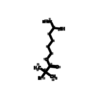 CCCCCCC(S)CCCCOC(=O)C(C)(C)Br